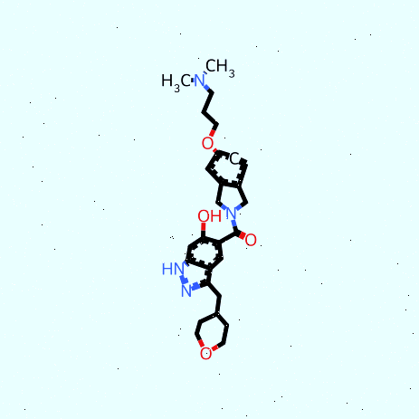 CN(C)CCCOc1ccc2c(c1)CN(C(=O)c1cc3c(CC4CCOCC4)n[nH]c3cc1O)C2